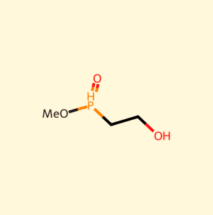 CO[PH](=O)CCO